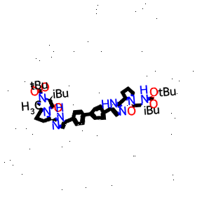 CC[C@H](C)[C@H](NC(=O)OC(C)(C)C)C(=O)N1CCCC1c1ncc(-c2ccc(-c3ccc(-c4cnc([C@@H]5CCCN5C(=O)[C@H]([C@@H](C)CC)N(C)C(=O)OC(C)(C)C)[nH]4)cc3)cc2)[nH]1